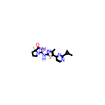 Cc1nc(NC(=O)N2CCC[C@@]2(C)C(N)=O)sc1-c1ccnc(C2CC2C)n1